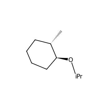 CC(C)O[C@H]1CCCC[C@@H]1C